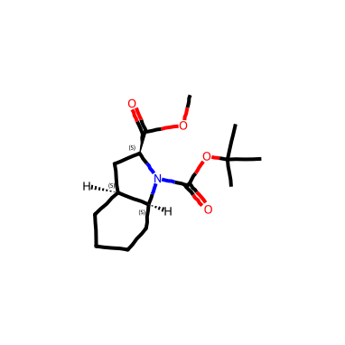 COC(=O)[C@@H]1C[C@@H]2CCCC[C@@H]2N1C(=O)OC(C)(C)C